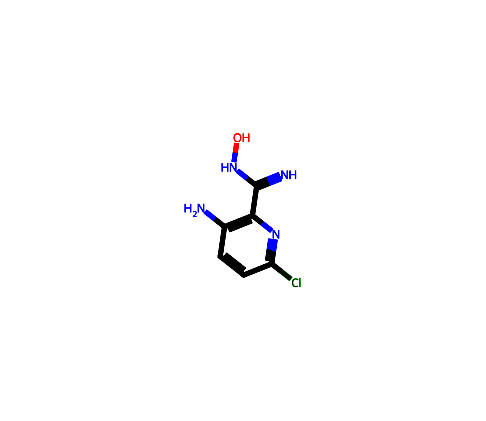 N=C(NO)c1nc(Cl)ccc1N